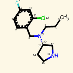 CCCN(Cc1ccc(F)cc1Cl)[C@H]1CCNC1